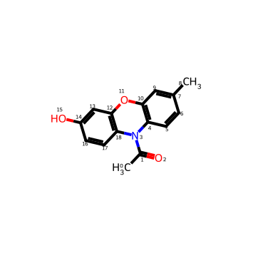 CC(=O)N1c2ccc(C)cc2Oc2cc(O)ccc21